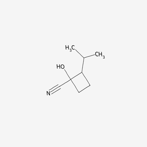 CC(C)C1CCC1(O)C#N